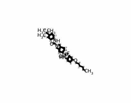 CCCCCCOc1ccc(NS(=O)(=O)c2ccc3c(c2)CN(C(=O)Nc2ccc(C(C)(C)C)cc2)C3)c(F)c1